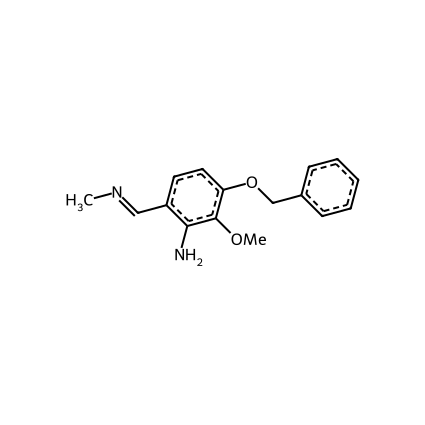 C/N=C/c1ccc(OCc2ccccc2)c(OC)c1N